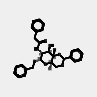 O=C(Cc1ccccc1)N[C@H]1[C@@H](OCc2ccccc2)O[C@@H]2COC(c3ccccc3)O[C@H]2[C@@H]1O